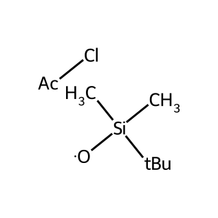 CC(=O)Cl.CC(C)(C)[Si](C)(C)[O]